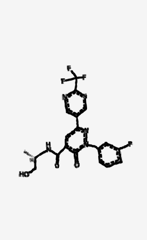 C[C@@H](CO)NC(=O)c1cc(-c2cnc(C(F)(F)F)nc2)nn(-c2cccc(F)c2)c1=O